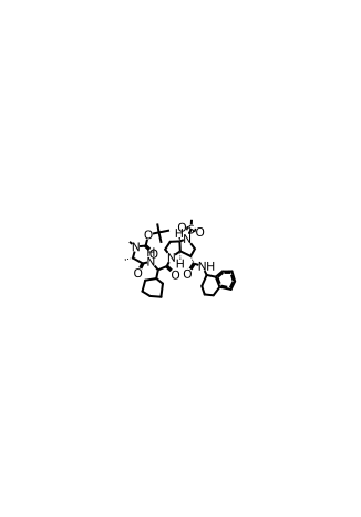 C[C@@H](C(=O)NC(C(=O)N1CC[C@@H]2[C@H]1[C@@H](C(=O)NC1CCCc3ccccc31)CN2S(C)(=O)=O)C1CCCCC1)N(C)C(=O)OC(C)(C)C